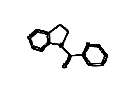 O=C(c1ccccn1)N1CCc2ccccc21